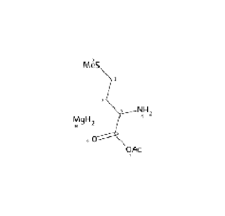 CSCCC(N)C(=O)OC(C)=O.[MgH2]